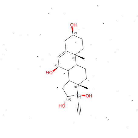 C#C[C@]1(O)[C@H](O)CC2C3C(CC[C@@]21C)[C@@]1(C)CC[C@H](O)CC1=C[C@@H]3O